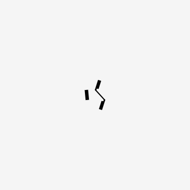 C=O.O=CC=O